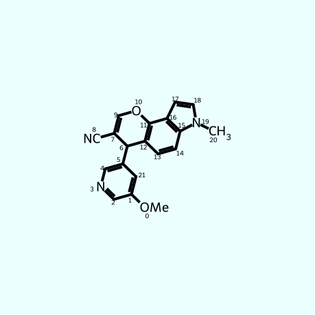 COc1cncc(C2C(C#N)=COc3c2ccc2c3ccn2C)c1